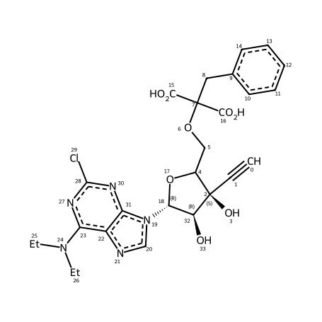 C#C[C@@]1(O)C(COC(Cc2ccccc2)(C(=O)O)C(=O)O)O[C@@H](n2cnc3c(N(CC)CC)nc(Cl)nc32)[C@@H]1O